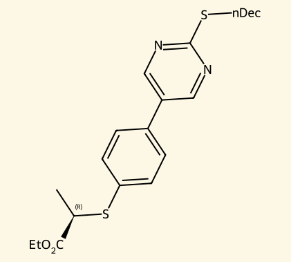 CCCCCCCCCCSc1ncc(-c2ccc(S[C@H](C)C(=O)OCC)cc2)cn1